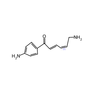 NC/C=C\C=CC(=O)c1ccc(N)cc1